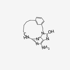 Nc1nc2nc3c1nc(O)n3Cc1cccc(c1)CCCCCN2